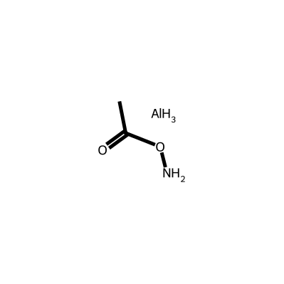 CC(=O)ON.[AlH3]